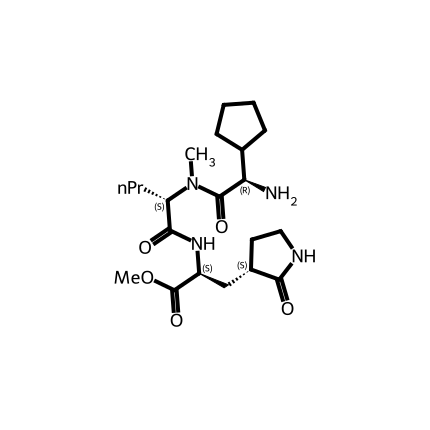 CCC[C@@H](C(=O)N[C@@H](C[C@@H]1CCNC1=O)C(=O)OC)N(C)C(=O)[C@H](N)C1CCCC1